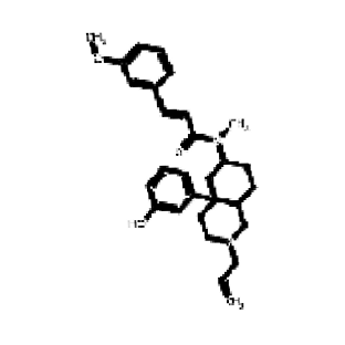 C=CCN1CCC2(c3cccc(O)c3)CC(N(C)C(=O)/C=C/c3cccc(OC)c3)CCC2C1